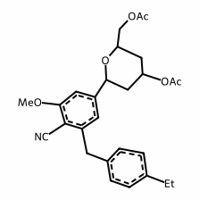 CCc1ccc(Cc2cc(C3CC(OC(C)=O)CC(COC(C)=O)O3)cc(OC)c2C#N)cc1